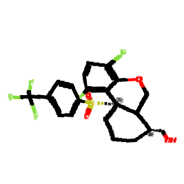 O=S(=O)(c1ccc(C(F)(F)F)cc1)[C@@]12CCC[C@@H](CO)C1COc1c(F)ccc(F)c12